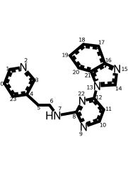 c1cncc(CCNc2nccc(-n3cnc4ccccc43)n2)c1